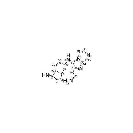 N=C1CCc2cc(Nc3c(CCN)nc4cnccn34)ccc21